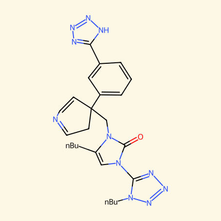 CCCCc1cn(-c2nnnn2CCCC)c(=O)n1CC1(c2cccc(-c3nnn[nH]3)c2)C=CN=CC1